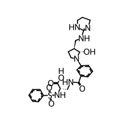 O=C(NC[C@H](NS(=O)(=O)c1ccccc1)C(=O)O)c1cccc(N2CC[C@@H](CNC3=NCCCN3)[C@@H]2O)c1